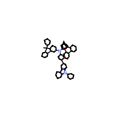 CC1(c2ccccc2)c2ccccc2-c2cc(N(c3ccc(-c4ccc5c(c4)c4ccccc4n5-c4ccccc4)cc3)c3ccccc3-c3ccccc3-c3ccccc3-c3ccc4cc3-4)ccc21